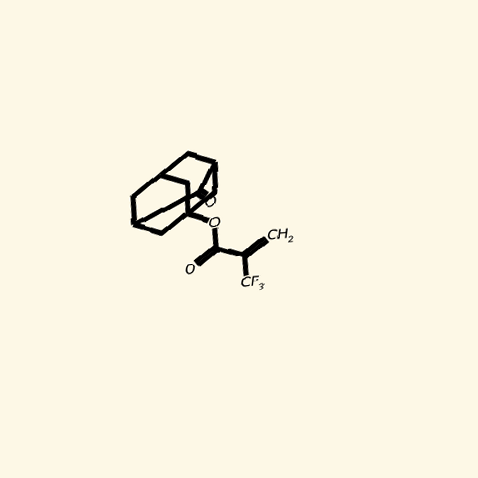 C=C(C(=O)OC12CC3CC(C1)C(=O)C(C3)C2)C(F)(F)F